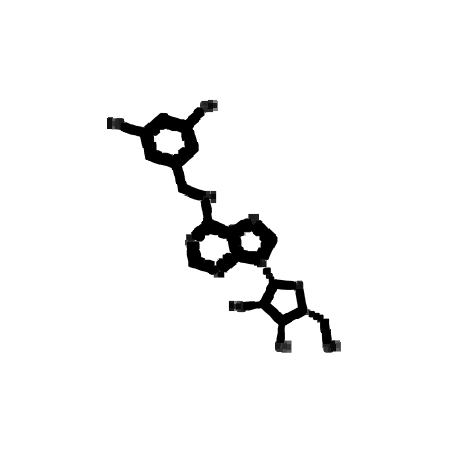 OC[C@H]1O[C@@H](n2cnc3c(NCc4cc(O)cc(O)c4)ncnc32)[C@H](O)[C@@H]1O